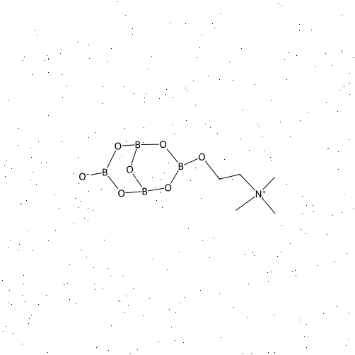 C[N+](C)(C)CCOB1OB2OB([O-])OB(O1)O2